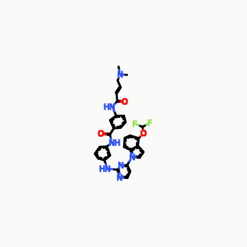 CN(C)C/C=C/C(=O)Nc1cccc(C(=O)Nc2cccc(Nc3nccc(-n4ccc5c(OC(F)F)cccc54)n3)c2)c1